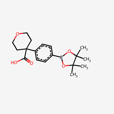 CC1(C)OB(c2ccc(C3(C(=O)O)CCOCC3)cc2)OC1(C)C